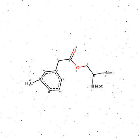 CCCCCCCCCC(CCCCCCC)COC(=O)Cc1cccc(C)c1